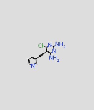 Nc1nc(N)c(C#Cc2cccnc2)c(Cl)n1